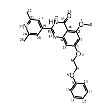 COc1cc(OCCOc2ccccc2)cc2nc(-c3cc(C)nc(C)c3)[nH]c(=O)c12